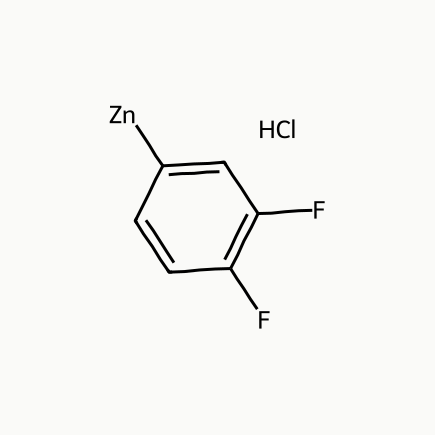 Cl.Fc1cc[c]([Zn])cc1F